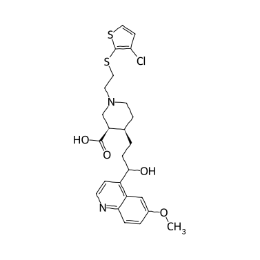 COc1ccc2nccc(C(O)CC[C@@H]3CCN(CCSc4sccc4Cl)C[C@@H]3C(=O)O)c2c1